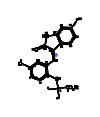 CCOC(=O)C(C)(C)Oc1ccc(Cl)cc1/C=C1\C(=O)Nc2cc(F)ccc21